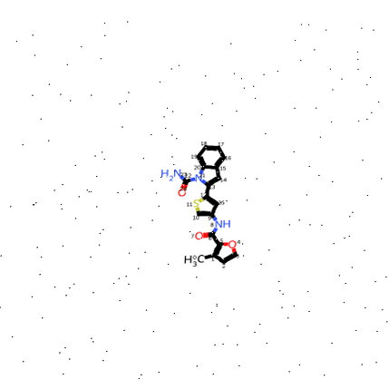 Cc1ccoc1C(=O)Nc1csc(-c2cc3ccccc3n2C(N)=O)c1